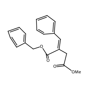 COC(=O)CC(=Cc1ccccc1)C(=O)OCc1ccccc1